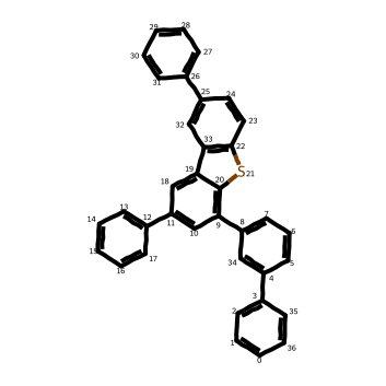 c1ccc(-c2cccc(-c3cc(-c4ccccc4)cc4c3sc3ccc(-c5ccccc5)cc34)c2)cc1